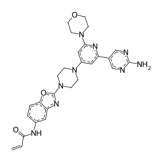 C=CC(=O)Nc1ccc2oc(N3CCN(c4cc(-c5cnc(N)nc5)nc(N5CCOCC5)c4)CC3)nc2c1